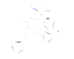 CC(CCC(C#N)(c1ccc(C(F)(F)F)cc1)C(C)C)N(CCc1ccccc1)CCc1ccccc1